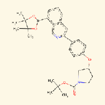 CC(C)(C)OC(=O)N1CC[C@@H](Oc2ccc(-c3cc4cccc(B5OC(C)(C)C(C)(C)O5)c4cn3)cc2)C1